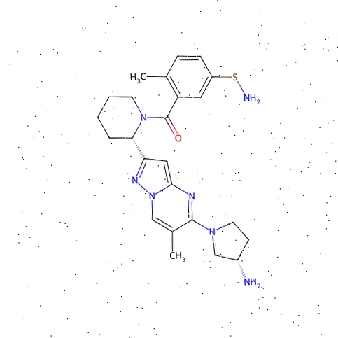 Cc1ccc(SN)cc1C(=O)N1CCCC[C@H]1c1cc2nc(N3CC[C@H](N)C3)c(C)cn2n1